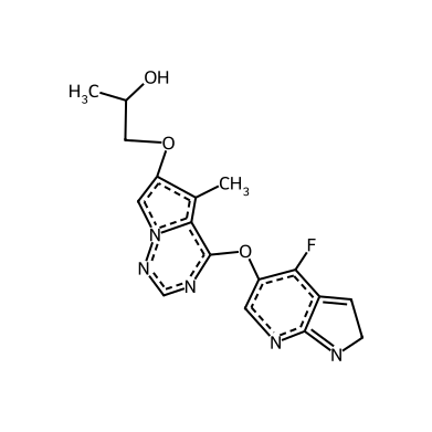 Cc1c(OCC(C)O)cn2ncnc(Oc3cnc4c(c3F)=CCN=4)c12